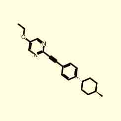 CCOc1cnc(C#Cc2ccc([C@H]3CC[C@H](C)CC3)cc2)nc1